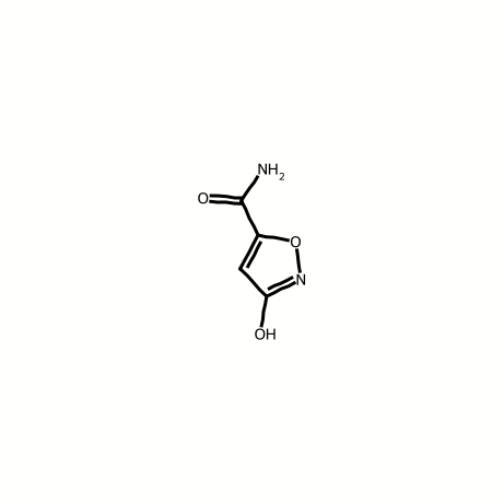 NC(=O)c1cc(O)no1